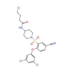 N#Cc1ccc(Oc2cc(Cl)cc(Cl)c2)c(S(=O)(=O)N2CCC(NC(=O)CCCCl)CC2)c1